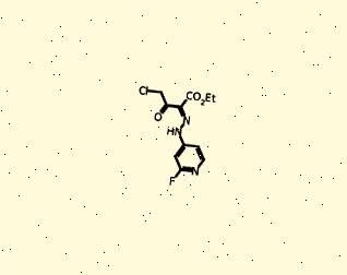 CCOC(=O)/C(=N/Nc1ccnc(F)c1)C(=O)CCl